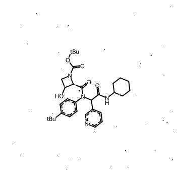 CC(C)(C)OC(=O)N1CC(O)[C@@H]1C(=O)N(c1ccc(C(C)(C)C)cc1)C(C(=O)NC1CCCCC1)c1cccnc1